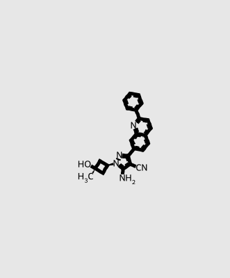 C[C@]1(O)C[C@@H](n2nc(-c3ccc4ccc(-c5ccccc5)nc4c3)c(C#N)c2N)C1